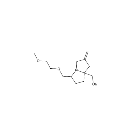 C=C1CN2C(COCCOC)CCC2(CO)C1